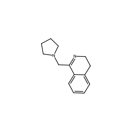 c1ccc2c(c1)CCN=C2CN1CCCC1